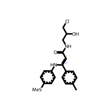 CSc1ccc(N/C(=C\C(=O)NCC(O)CCl)c2ccc(C)cc2)cc1